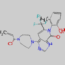 C=CC(=O)N1CCN(c2ncnc3c(=O)n(-c4c(C)cccc4O)c(C(F)(F)F)cc23)CC1